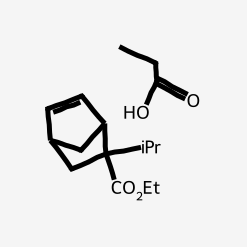 CCC(=O)O.CCOC(=O)C1(C(C)C)CC2C=CC1C2